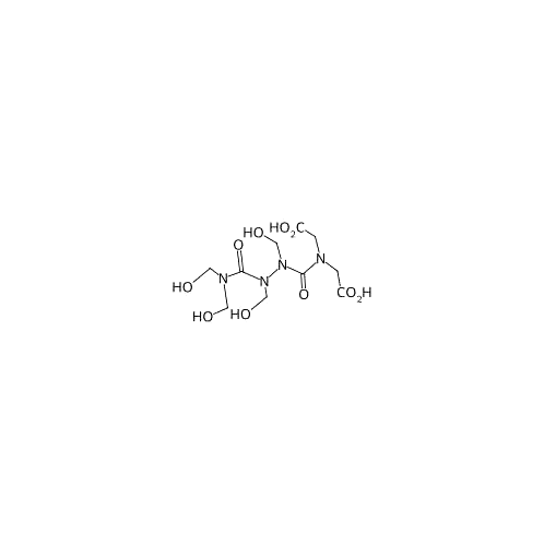 O=C(O)CN(CC(=O)O)C(=O)N(CO)N(CO)C(=O)N(CO)CO